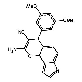 COc1cc(OC)cc(C2C3=CC=C4N=CC=C4C3OC(N)=C2C#N)c1